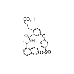 CC(NC(=O)c1cc(Oc2ccc(S(C)(=O)=O)cc2)ccc1CCCC(=O)O)c1cccc2ccccc12